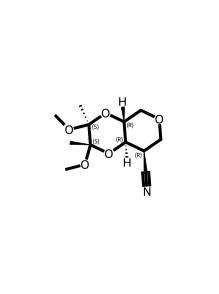 CO[C@@]1(C)O[C@@H]2[C@H](C#N)COC[C@H]2O[C@]1(C)OC